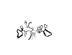 CCO[C@H](CNS(=O)(=O)c1ccccc1Cl)[C@@H](O)CNC(=O)c1ccccc1